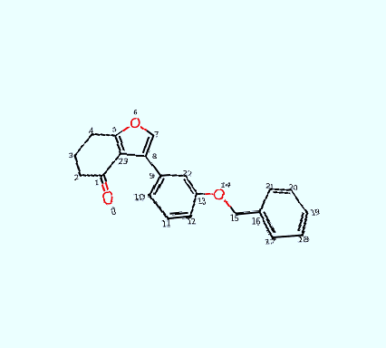 O=C1CCCc2occ(-c3cccc(OCc4ccccc4)c3)c21